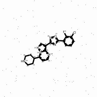 Fc1c(Cl)cccc1-c1nc(-c2cnn3c(C4CCNCC4)ccnc23)no1